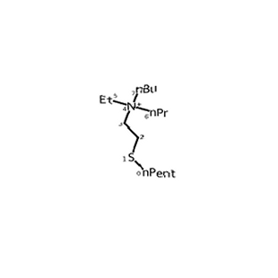 CCCCCSCC[N+](CC)(CCC)CCCC